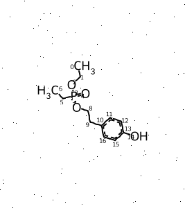 CCOP(=O)(CC)OCCc1ccc(O)cc1